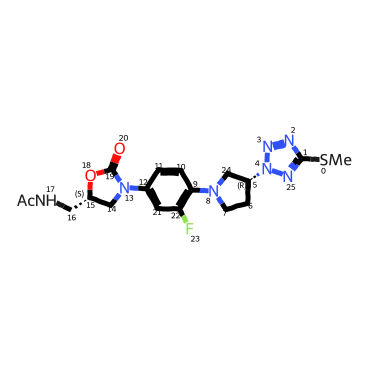 CSc1nnn([C@@H]2CCN(c3ccc(N4C[C@H](CNC(C)=O)OC4=O)cc3F)C2)n1